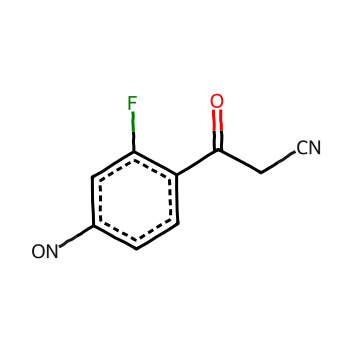 N#CCC(=O)c1ccc(N=O)cc1F